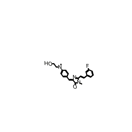 CN1C(=O)/C(=C/c2ccc(N(C)CCO)cc2)N=C1/C=C/c1cccc(F)c1